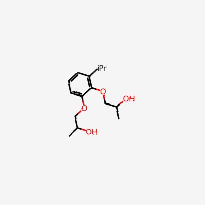 CC(O)COc1cccc(C(C)C)c1OCC(C)O